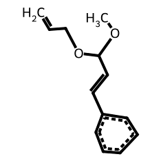 C=CCOC(C=Cc1ccccc1)OC